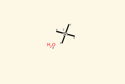 O.[CH3][Sn]([CH3])([CH3])[CH3]